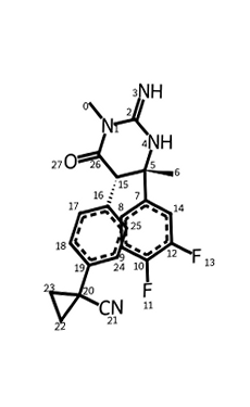 CN1C(=N)N[C@](C)(c2ccc(F)c(F)c2)[C@H](c2ccc(C3(C#N)CC3)cc2)C1=O